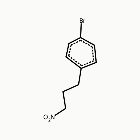 O=[N+]([O-])CCCc1ccc(Br)cc1